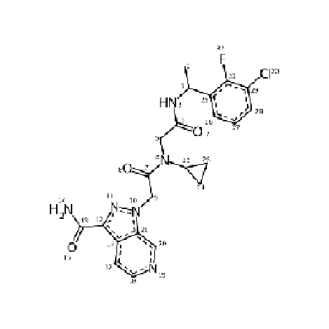 CC(NC(=O)CN(C(=O)Cn1nc(C(N)=O)c2ccncc21)C1CC1)c1cccc(Cl)c1F